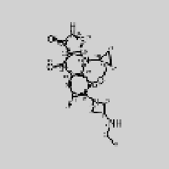 CCNC1CN(c2c(F)cc3c(=O)c4c(=O)[nH]sc4n(C4CC4)c3c2OC)C1